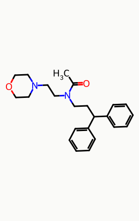 CC(=O)N(CCC(c1ccccc1)c1ccccc1)CCN1CCOCC1